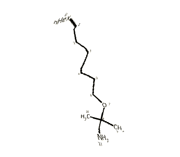 CCCCCCCCCCCCOC(C)(C)N